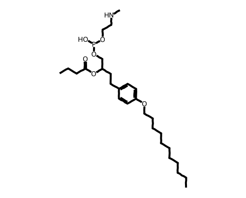 CCCCCCCCCCCOc1ccc(CCC(COP(O)OCCNC)OC(=O)CCC)cc1